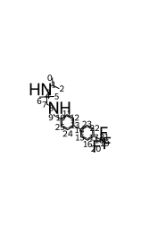 CC(C)NC(C)(C)CNCc1ccc(-c2ccc(C(F)(F)F)cc2)cc1